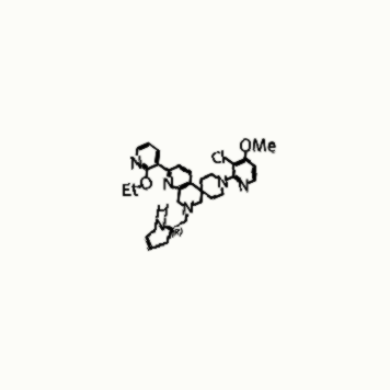 CCOc1ncccc1-c1ccc2c(n1)CN(C[C@H]1CCCN1)CC21CCN(c2nccc(OC)c2Cl)CC1